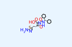 Nc1ncc(CC[C@H]2C(=O)N(C(=O)NC(c3ccccc3)c3ccccc3)[C@@H]2C(=O)O)s1